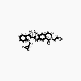 Cn1c(-c2cc3ccccc3n2CC2CC2)nc2cc3c(cc21)CCN(CC=O)C3=O